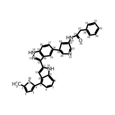 Cc1ccc(-c2cccc3[nH]c(-c4n[nH]c5ccc(-c6cncc(NC(=O)Cc7ccccc7)c6)cc45)cc23)s1